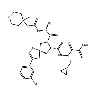 CNC(=O)C(=O)[C@H](CC1CC1)NC(=O)[C@@H]1C[C@]2(CC(c3cccc(Cl)c3)=NO2)CN1C(=O)[C@@H](NC(=O)CC1(C)CCOCC1)C(C)(C)C